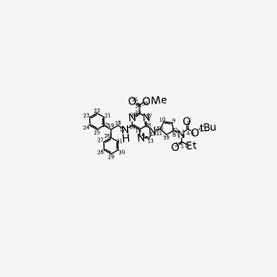 CCC(=O)N(C(=O)OC(C)(C)C)[C@@H]1C=C[C@H](n2cnc3c(NCC(c4ccccc4)c4ccccc4)nc(C(=O)OC)nc32)C1